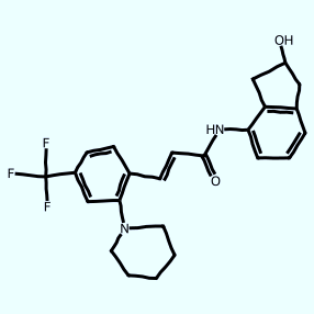 O=C(C=Cc1ccc(C(F)(F)F)cc1N1CCCCC1)Nc1cccc2c1CC(O)C2